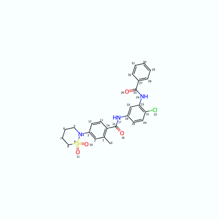 Cc1cc(N2CCCCS2(=O)=O)ccc1C(=O)Nc1ccc(Cl)c(NC(=O)c2ccccc2)c1